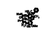 C=C1C[C@@H](C(OC)[C@@H](C)C(=O)NC(Cc2ccccc2)C(=O)O)N(C(=O)CC(OC)[C@@H](/C=C(\C)CC(=O)[C@@H](NC(=O)[C@@H](NC)C(C)C)C(C)C)[C@@H](C)CC)C1